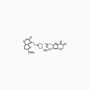 COc1ccc2ncc(=O)n(CCN3C[C@H](CNCc4nc5c(cc4Cl)OCC(=O)N5)[C@H](O)C3)c2n1